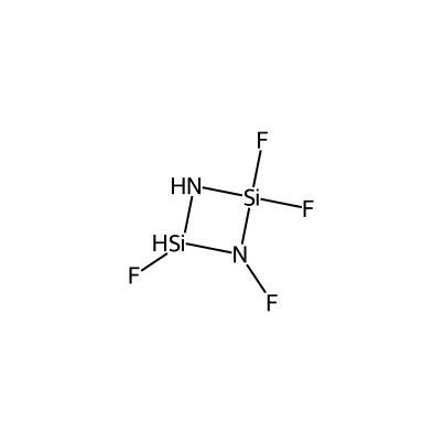 FN1[SiH](F)N[Si]1(F)F